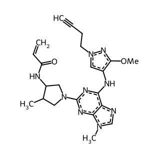 C#CCCn1cc(Nc2nc(N3CC(C)C(NC(=O)C=C)C3)nc3c2ncn3C)c(OC)n1